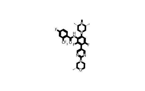 C[C@@H]1CN(c2ncc(-c3c(F)cc(N4C[C@@H](C)N(C)[C@@H](C)C4)c(NC(=O)c4ccc(F)cc4C(F)(F)F)c3F)cn2)CCO1